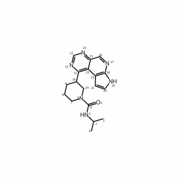 CC(C)NC(=O)N1CCCC(c2ncnc3cnc4[nH]ccc4c23)C1